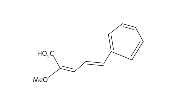 COC(=CC=Cc1ccccc1)C(=O)O